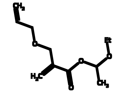 C=CCOCC(=C)C(=O)OC(C)OCC